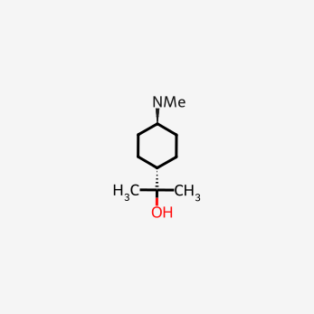 CN[C@H]1CC[C@H](C(C)(C)O)CC1